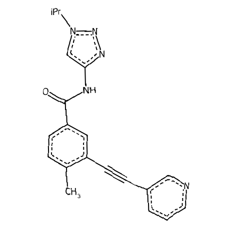 Cc1ccc(C(=O)Nc2cn(C(C)C)nn2)cc1C#Cc1cccnc1